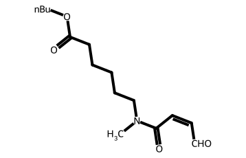 CCCCOC(=O)CCCCCN(C)C(=O)/C=C\C=O